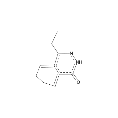 CCc1n[nH]c(=O)c2c1=CCCC=2